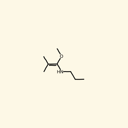 CCCNC(OC)=C(C)C